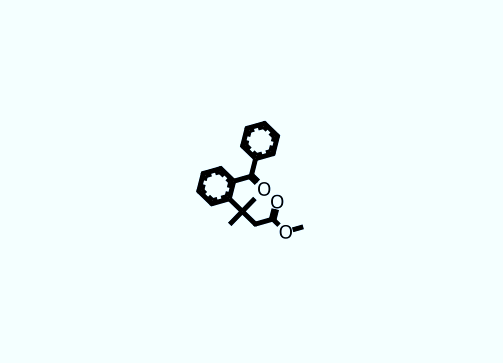 COC(=O)CC(C)(C)c1ccccc1C(=O)c1ccccc1